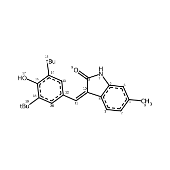 Cc1ccc2c(c1)NC(=O)C2=Cc1cc(C(C)(C)C)c(O)c(C(C)(C)C)c1